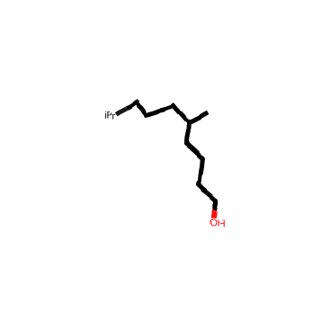 CC(C)CCCC(C)CCCCO